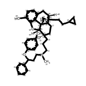 Cc1ccc(OC(CCN(C)CCC[C@]2(O)CC[C@@]3(O)[C@H]4Cc5ccc(O)c6c5[C@@]3(CCN4CCC3CC3)[C@H]2O6)c2ccccc2)cc1